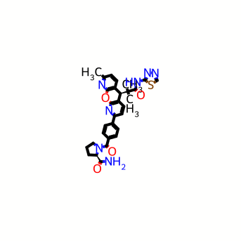 Cc1ccc2c(n1)Oc1nc(-c3ccc(C(=O)N4CCC[C@@H]4C(N)=O)cc3)ccc1[C@@H]2C(C)(C)C(=O)Nc1nncs1